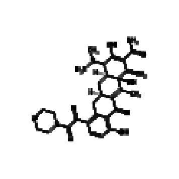 C=C1C(C(N)=O)=C(O)C(N(C)C)[C@@H]2C[C@@H]3Cc4c(C(=O)C(=O)N5CCOCC5)ccc(O)c4C(=O)C3=C(C)C12O